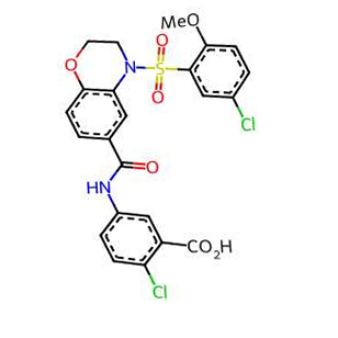 COc1ccc(Cl)cc1S(=O)(=O)N1CCOc2ccc(C(=O)Nc3ccc(Cl)c(C(=O)O)c3)cc21